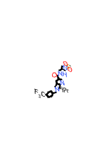 CC(C)[C@H]1c2ncc(C(=O)NCC3CN(S(C)(=O)=O)C3)cc2CN1Cc1ccc(C(F)(F)F)cc1